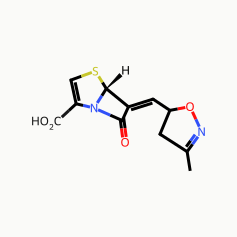 CC1=NOC(C=C2C(=O)N3C(C(=O)O)=CS[C@H]23)C1